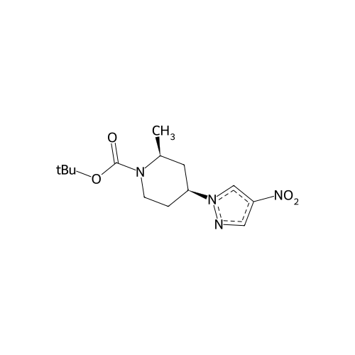 C[C@H]1C[C@@H](n2cc([N+](=O)[O-])cn2)CCN1C(=O)OC(C)(C)C